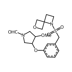 COC1CN(C=O)CC1Oc1cccc(CS(=O)(=O)N2CCC23COC3)c1